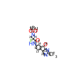 CC(C)(C)OC(=O)N1CC(F)(C(=O)Nc2ccc3c(c2)C(=O)c2nc(C(F)(F)F)ncc2-3)C1